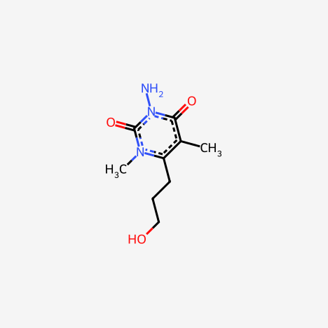 Cc1c(CCCO)n(C)c(=O)n(N)c1=O